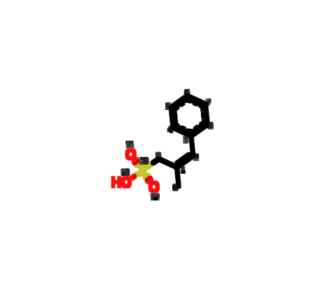 CC(=Cc1ccccc1)CS(=O)(=O)O